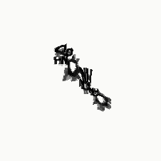 O=C(CCl)Nc1ccc(Nc2nccc(NCC3CCCCC3)n2)cc1